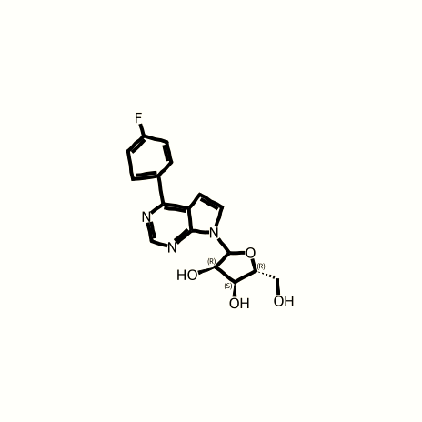 OC[C@H]1OC(n2ccc3c(-c4ccc(F)cc4)ncnc32)[C@H](O)[C@@H]1O